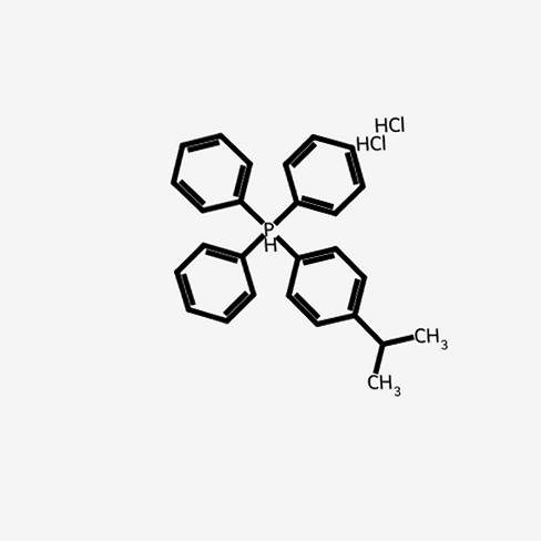 CC(C)c1ccc([PH](c2ccccc2)(c2ccccc2)c2ccccc2)cc1.Cl.Cl